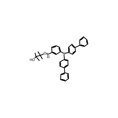 CC(C)(O)C(C)(C)OBc1cccc(N(c2ccc(-c3ccccc3)cc2)c2ccc(-c3ccccc3)cc2)c1